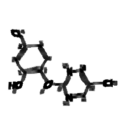 Oc1cc(Cl)ccc1Oc1ncc(Cl)cn1